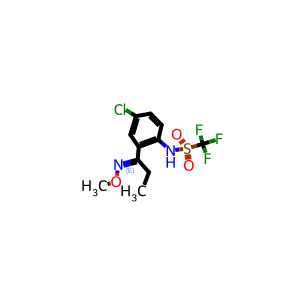 CC/C(=N\OC)c1cc(Cl)ccc1NS(=O)(=O)C(F)(F)F